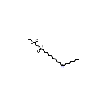 CCCCCC/C=C\CCCCCCCCCC(=O)NCC(=O)OCC